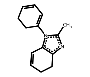 Cc1nc2c(n1C1=CC=CCC1)C=CCC2